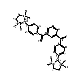 C=C(c1ccc(N2[Si](C)(C)CC[Si]2(C)C)cc1)c1cccc(C(=C)c2ccc(N3[Si](C)(C)CC[Si]3(C)C)cc2)c1